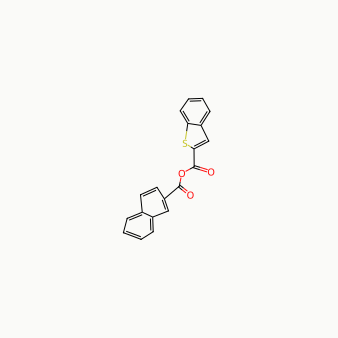 O=C(OC(=O)c1cc2ccccc2s1)c1ccc2ccccc2c1